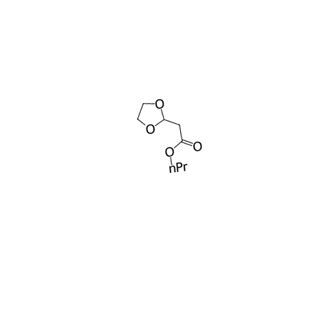 CCCOC(=O)CC1OCCO1